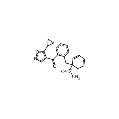 C[S+]([O-])C1(Cc2ccccc2C(=O)c2cnoc2C2CC2)C=CC=CC1